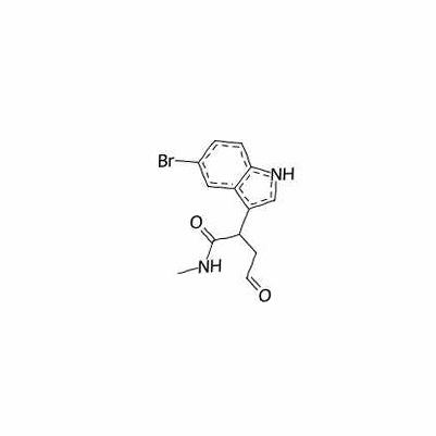 CNC(=O)C(CC=O)c1c[nH]c2ccc(Br)cc12